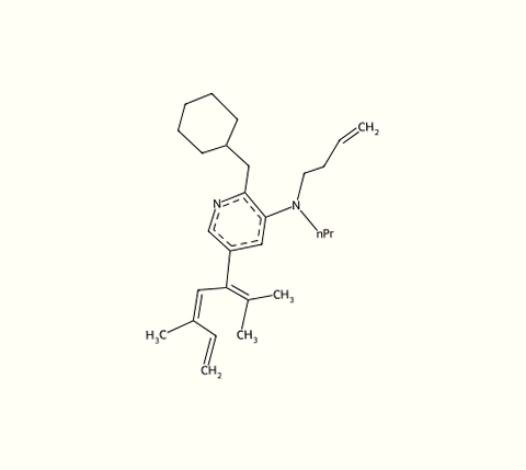 C=CCCN(CCC)c1cc(C(/C=C(/C)C=C)=C(C)C)cnc1CC1CCCCC1